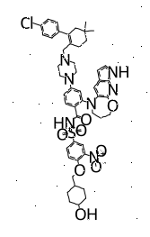 CC1(C)CCC(CN2CCN(c3ccc(C(=O)NS(=O)(=O)c4ccc(OCC5CCC(O)CC5)c([N+](=O)[O-])c4)c(N4CCCOc5nc6[nH]ccc6cc54)c3)CC2)=C(c2ccc(Cl)cc2)C1